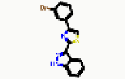 Brc1cccc(-c2csc(-c3n[nH]c4ccccc34)n2)c1